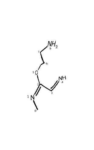 C/N=C(\C=N)OCCN